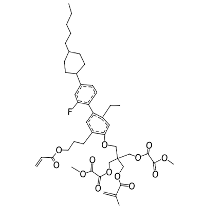 C=CC(=O)OCCCc1cc(-c2ccc(C3CCC(CCCCC)CC3)cc2F)c(CC)cc1OCC(COC(=O)C(=C)C)(COC(=O)C(=O)OC)COC(=O)C(=O)OC